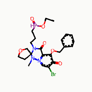 CCO[PH](=O)CCCN1C(=O)c2c(OCc3ccccc3)c(=O)c(Br)cn2N(C)C12CCOC2